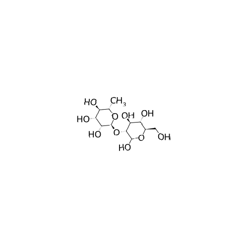 C[C@@H]1O[C@@H](O[C@H]2C(O)O[C@H](CO)[C@@H](O)[C@@H]2O)[C@H](O)[C@H](O)[C@H]1O